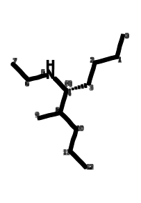 CCCC[C@@H](NCC)C(C)CCC